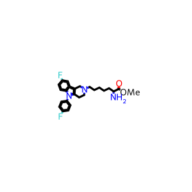 COC(=O)C(N)CCCCCN1CCc2c(c3cc(F)ccc3n2-c2ccc(F)cc2)C1